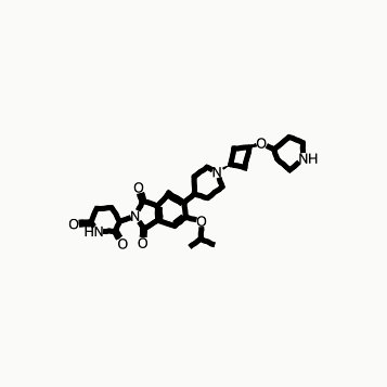 CC(C)Oc1cc2c(cc1C1CCN([C@H]3C[C@H](OC4CCNCC4)C3)CC1)C(=O)N(C1CCC(=O)NC1=O)C2=O